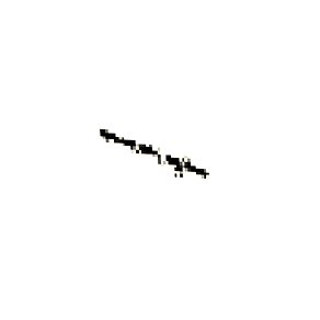 CCCCCCCCOCCOCCOCCCC(=O)OCCCCC